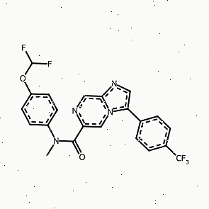 CN(C(=O)c1cn2c(-c3ccc(C(F)(F)F)cc3)cnc2cn1)c1ccc(OC(F)F)cc1